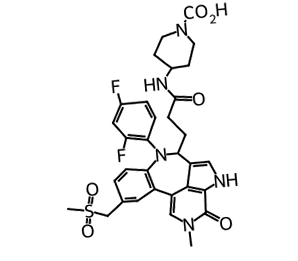 Cn1cc2c3c(c[nH]c3c1=O)C(CCC(=O)NC1CCN(C(=O)O)CC1)N(c1ccc(F)cc1F)c1ccc(CS(C)(=O)=O)cc1-2